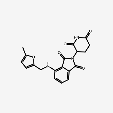 Cc1ccc(CNc2cccc3c2C(=O)N(C2CCC(=O)NC2=O)C3=O)o1